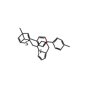 Cc1ccc(-c2ccc(C3=CC4(C)C=C(S3)C4CCC3CCCc4cccn43)cc2)cc1